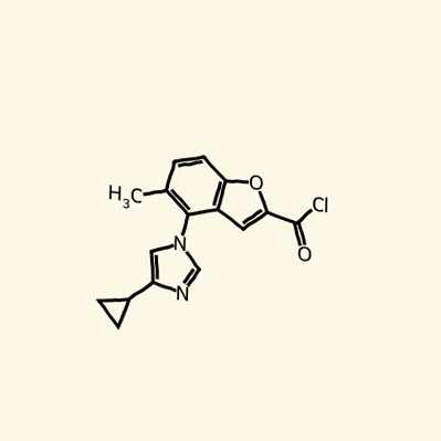 Cc1ccc2oc(C(=O)Cl)cc2c1-n1cnc(C2CC2)c1